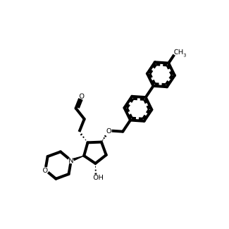 Cc1ccc(-c2ccc(CO[C@@H]3C[C@H](O)[C@@H](N4CCOCC4)[C@@H]3CCC=O)cc2)cc1